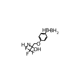 BBc1ccc(OCC(N)(O)C(F)(F)F)cc1